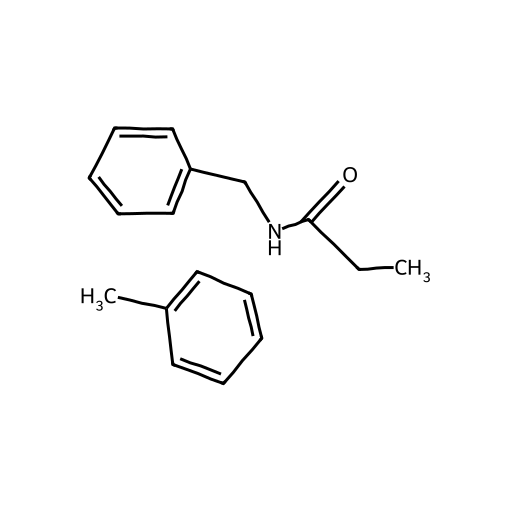 CCC(=O)NCc1ccccc1.Cc1ccccc1